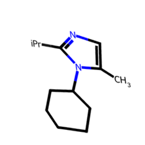 Cc1cnc(C(C)C)n1C1CCCCC1